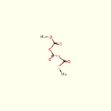 CC(C)(C)OC(=O)OC(=O)OC(=O)OC(C)(C)C